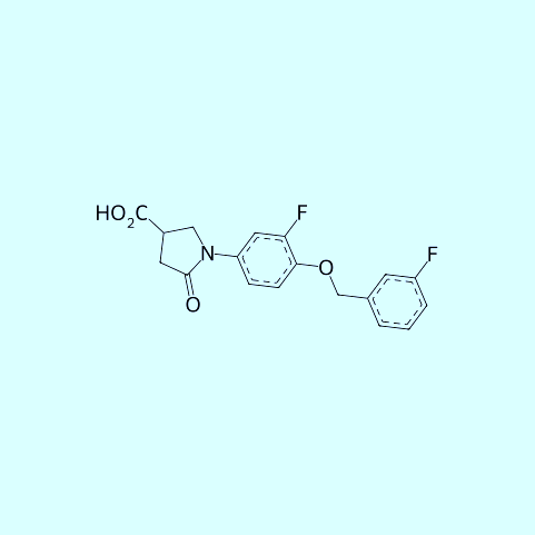 O=C(O)C1CC(=O)N(c2ccc(OCc3cccc(F)c3)c(F)c2)C1